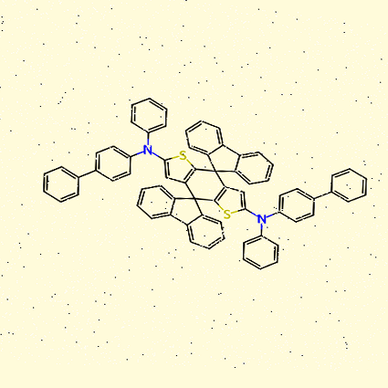 c1ccc(-c2ccc(N(c3ccccc3)c3cc4c(s3)C3(c5ccccc5-c5ccccc53)c3cc(N(c5ccccc5)c5ccc(-c6ccccc6)cc5)sc3C43c4ccccc4-c4ccccc43)cc2)cc1